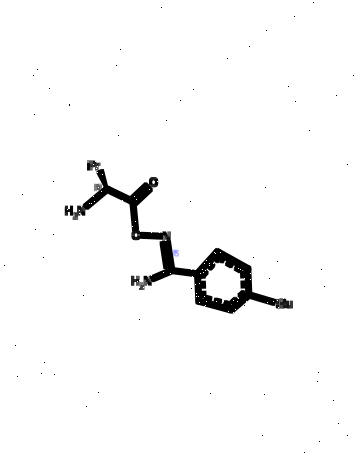 CC(C)[C@H](N)C(=O)O/N=C(\N)c1ccc(C(C)(C)C)cc1